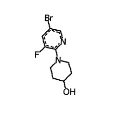 OC1CCN(c2ncc(Br)cc2F)CC1